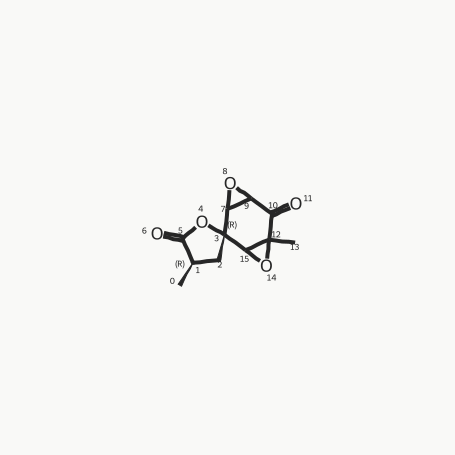 C[C@@H]1C[C@@]2(OC1=O)C1OC1C(=O)C1(C)OC12